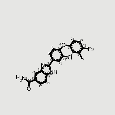 Cc1cc(Oc2ccc(-c3nc4cc(C(N)=O)ccc4[nH]3)cc2Cl)ccc1F